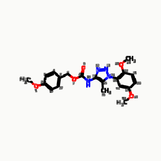 COc1ccc(COC(=O)Nc2nnn(-c3cc(OC)ccc3OC)c2C)cc1